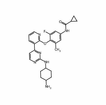 Cc1cc(NC(=O)C2CC2)cc(F)c1Oc1ncccc1-c1ccnc(NC2CCC(N)CC2)n1